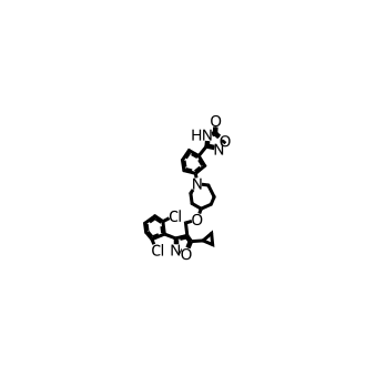 O=c1[nH]c(-c2cccc(N3CCCC(OCc4c(-c5c(Cl)cccc5Cl)noc4C4CC4)CC3)c2)no1